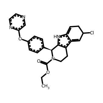 CCOC(=O)N1CCc2c([nH]c3c2=CC(Cl)CC=3)[C@@H]1c1ccc(Oc2cnccn2)cc1